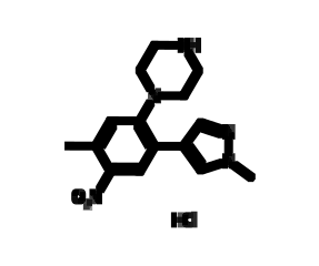 Cc1cc(N2CCNCC2)c(-c2cnn(C)c2)cc1[N+](=O)[O-].Cl